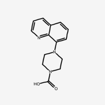 O=C(O)N1CCN(c2cccc3cccnc23)CC1